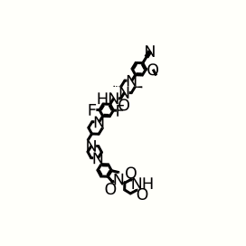 COc1cc(N2C[C@@H](C)N(C(=O)Nc3cc(F)c(N4CCC(CN5CCN(c6ccc7c(c6)CN(C6CCC(=O)NC6=O)C7=O)CC5)CC4)cc3F)C[C@@H]2C)ccc1C#N